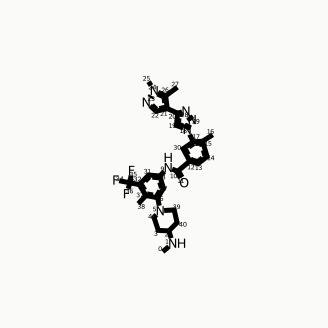 CNC1CCN(c2cc(NC(=O)c3ccc(C)c(-n4cc(-c5cnn(C)c5C)nn4)c3)cc(C(F)(F)F)c2C)CC1